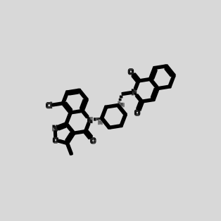 Cc1onc2c1c(=O)n([C@H]1CCC[C@@H](CN3C(=O)C=C4CC=CC=C4C3=O)C1)c1cccc(Cl)c21